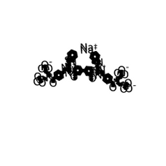 COc1cc(-c2ccc(-n3nc(-c4ccc(C(=O)N(CCS(=O)(=O)[O-])CCS(=O)(=O)[O-])cc4)n[n+]3-c3nc4ccccc4s3)c(OC)c2)ccc1-n1nc(-c2ccc(C(=O)N(CCS(=O)(=O)[O-])CCS(=O)(=O)[O-])cc2)n[n+]1-c1nc2ccccc2s1.[Na+].[Na+]